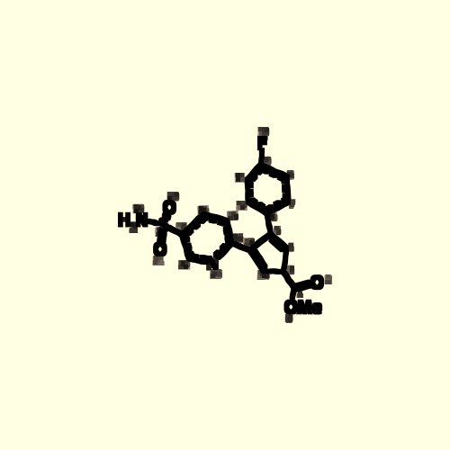 COC(=O)C1C=C(c2ccc(F)cc2)C(c2ccc(S(N)(=O)=O)cn2)=C1